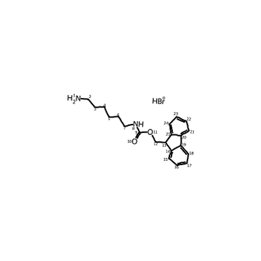 Br.NCCCCCCNC(=O)OCC1c2ccccc2-c2ccccc21